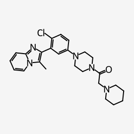 Cc1c(-c2cc(N3CCN(C(=O)CN4CCCCC4)CC3)ccc2Cl)nc2ccccn12